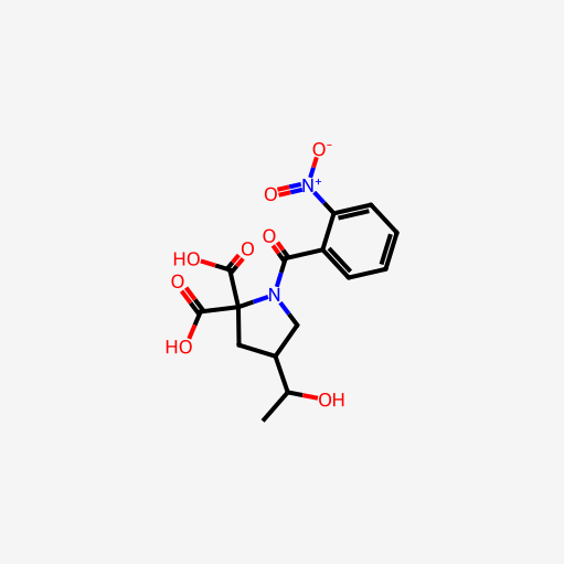 CC(O)C1CN(C(=O)c2ccccc2[N+](=O)[O-])C(C(=O)O)(C(=O)O)C1